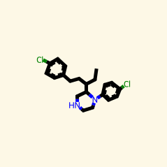 CCC(CCc1ccc(Cl)cc1)C1CNCCN1c1ccc(Cl)cc1